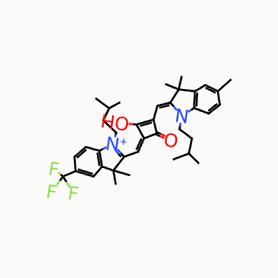 Cc1ccc2c(c1)C(C)(C)/C(=C/C1=C(O)C(=C\C3=[N+](CCC(C)C)c4ccc(C(F)(F)F)cc4C3(C)C)/C1=O)N2CCC(C)C